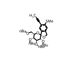 CC#Cc1cc2c(cc1SC)CO[C@]21O[C@H](COCCCC)[C@@H](OCCCC)[C@H](OCCCC)[C@H]1OCCCC